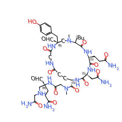 CCC(C)C1C(=O)N[C@@H](CCC(N)=O)C(=O)N[C@@H](CC(N)=O)C(=O)N[C@H](C(=O)N(C)CC(=O)N[C@](C=O)(CCC(N)=O)CNCC(N)=O)CCC(=O)NCC(=O)N[C@](C=O)(Cc2ccc(O)cc2)CN1C